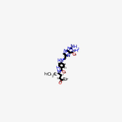 Nc1nc2ncc(CNc3ccc(C(=O)N[C@@H](CC[C](=O)[Ra])C(=O)O)cc3)nc2c(=O)[nH]1